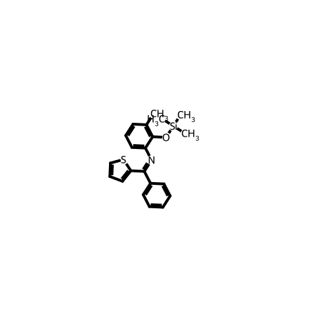 Cc1cccc(N=C(c2ccccc2)c2cccs2)c1O[Si](C)(C)C